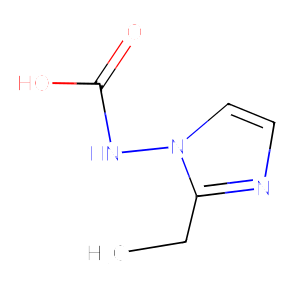 CCc1nccn1NC(=O)O